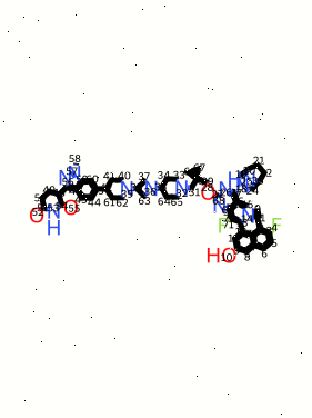 C#Cc1c(F)ccc2cc(O)cc(-c3ncc4c(N5CC6CCC(C5)N6)nc(OCC5(CN6CCC(N7CC(N8CCC(c9ccc%10c(C%11CCC(=O)NC%11=O)nn(C)c%10c9)CC8)C7)CC6)CC5)nc4c3F)c12